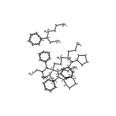 CCC(C)N(c1ccccc1)[Si](CC[SiH2][SiH](CC[SiH3])N(c1ccccc1)C1CCCC1)(N(C)C)[SiH](CC[SiH3])N(c1ccccc1)C1CCCCC1.CCN([SiH2]CC[SiH3])c1ccccc1